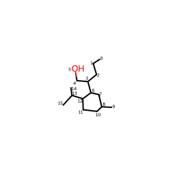 CCCC(CO)C1CC(C)CCC1C(C)C